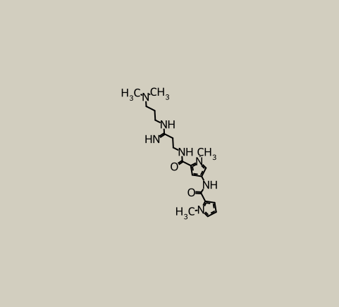 CN(C)CCCNC(=N)CCNC(=O)c1cc(NC(=O)c2cccn2C)cn1C